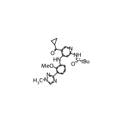 COc1c(Nc2cc(N[S@+]([O-])C(C)(C)C)ncc2C(=O)C2CC2)cccc1-c1ncn(C)n1